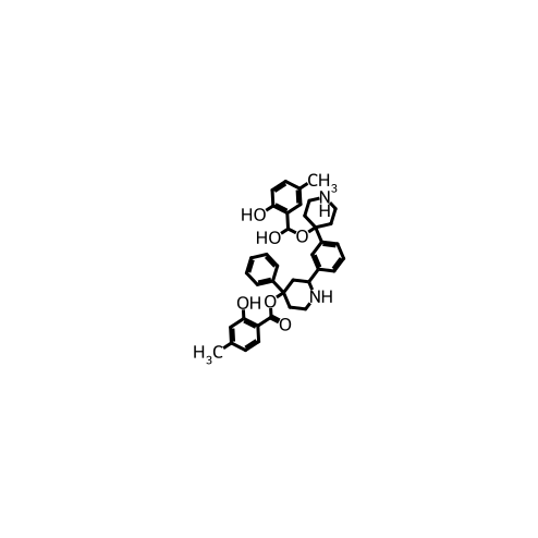 Cc1ccc(C(=O)OC2(c3ccccc3)CCNC(c3cccc(C4(OC(O)c5cc(C)ccc5O)CCNCC4)c3)C2)c(O)c1